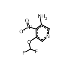 Nc1cncc(OC(F)F)c1[N+](=O)[O-]